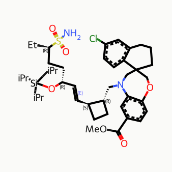 CC[C@H](CC[C@H](/C=C/[C@@H]1CC[C@H]1CN1CC2(CCCc3cc(Cl)ccc32)COc2ccc(C(=O)OC)cc21)O[Si](C(C)C)(C(C)C)C(C)C)S(N)(=O)=O